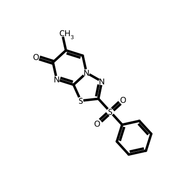 Cc1cn2nc(S(=O)(=O)c3ccccc3)sc2nc1=O